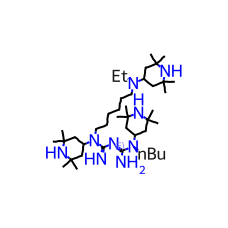 CCCCN(/C(N)=N/C(=N)N(CCCCCCN(CC)C1CC(C)(C)NC(C)(C)C1)C1CC(C)(C)NC(C)(C)C1)C1CC(C)(C)NC(C)(C)C1